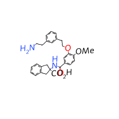 COc1ccc(C(=O)NC2(C(=O)O)Cc3ccccc3C2)cc1OCCc1cccc(CCN)c1